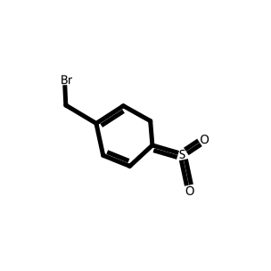 O=S(=O)=C1C=CC(CBr)=CC1